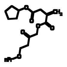 C=C(CC(=O)OC1CCCC1)C(=O)OCC(=O)CCOCCC